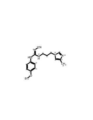 CCOc1ccc(NC(=NC#N)NCCCn2cnc(C)c2)cc1